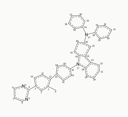 Cc1cc(-c2ncccn2)ccc1-c1ccc(-n2c3ccccc3c3cc(N(c4ccccc4)c4ccccc4)ccc32)cc1